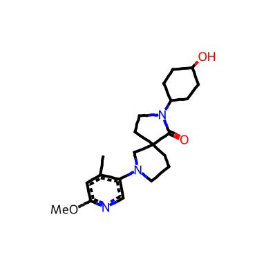 COc1cc(C)c(N2CCCC3(CCN(C4CCC(O)CC4)C3=O)C2)cn1